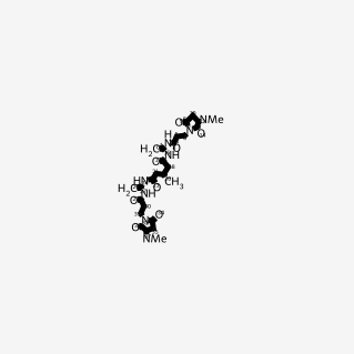 C=C(NC(=O)CCN1C(=O)CC(NC)C1=O)NC(=O)CC(C)CC(=O)NC(=C)NC(=O)CCN1C(=O)CC(NC)C1=O